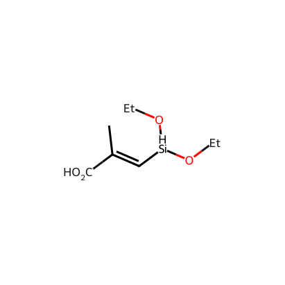 CCO[SiH](C=C(C)C(=O)O)OCC